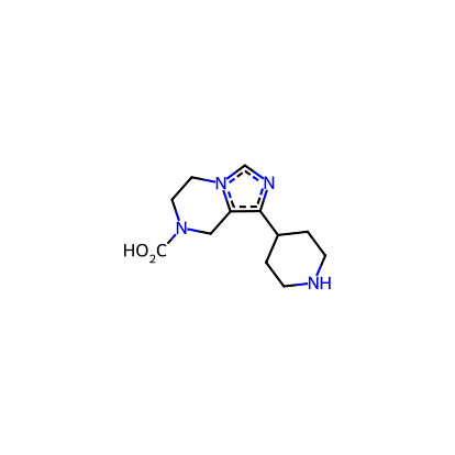 O=C(O)N1CCn2cnc(C3CCNCC3)c2C1